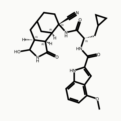 COc1cccc2[nH]c(C(=O)N[C@@H](CC3CC3)C(=O)N[C@@]3(C#N)CCC4C[C@@H]5C(O)NC(=O)[C@@H]5[C@H]3C4)cc12